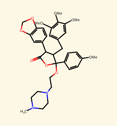 COc1ccc(C2(OCCN3CCN(C)CC3)OC(=O)C(c3ccc4c(c3)OCO4)C2Cc2cc(OC)c(OC)c(OC)c2)cc1